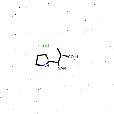 CS[C@@H]([C@@H]1CCCN1)[C@@H](C)C(=O)O.Cl